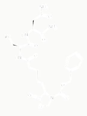 CC(C)C[C@H](NC(=O)CCCCC1C(=O)OCN1C(=O)OCc1ccccc1)C(=O)N[C@@H](CC(N)=O)C(N)=O